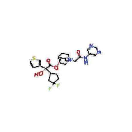 O=C(C[N+]12CCC(CC1)C(OC(=O)[C@](O)(c1ccsc1)C1CCC(F)(F)C1)C2)Nc1cncnc1